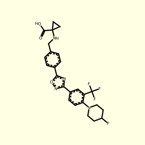 O=C(O)C1(NCc2ccc(-c3nc(-c4ccc(N5CCC(F)CC5)c(C(F)(F)F)c4)no3)cc2)CC1